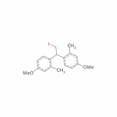 COc1ccc(C(CI)c2ccc(OC)cc2C)c(C)c1